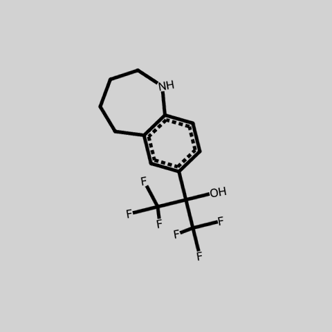 OC(c1ccc2c(c1)CCCCN2)(C(F)(F)F)C(F)(F)F